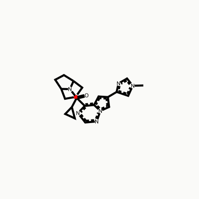 Cn1cnc(-c2cc3c(N4CC5CCC(C4)N5C(=O)C4CC4)ncnn3c2)c1